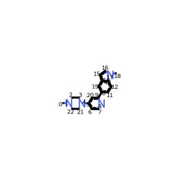 CN1CCN(c2ccnc(-c3ccc4c(ccn4C)c3)c2)CC1